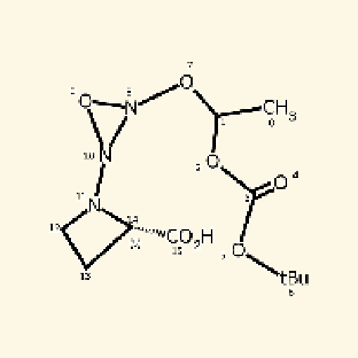 CC(OC(=O)OC(C)(C)C)On1on1N1CC[C@H]1C(=O)O